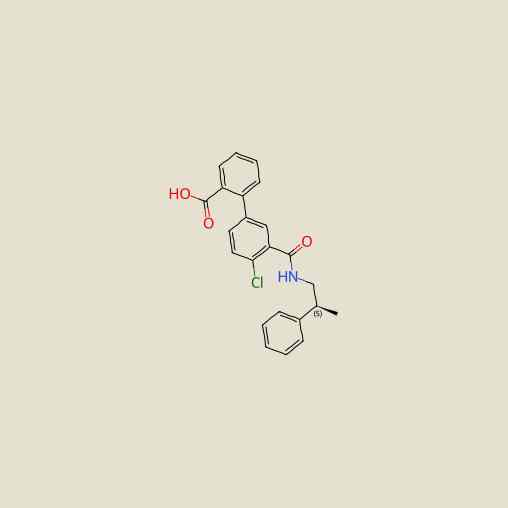 C[C@H](CNC(=O)c1cc(-c2ccccc2C(=O)O)ccc1Cl)c1ccccc1